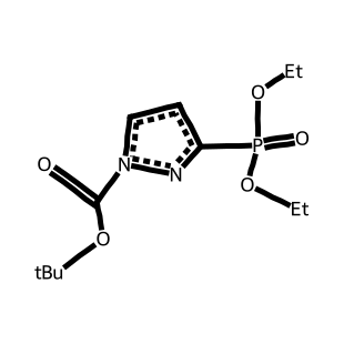 CCOP(=O)(OCC)c1ccn(C(=O)OC(C)(C)C)n1